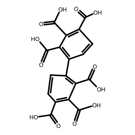 O=C(O)c1ccc(-c2ccc(C(=O)O)c(C(=O)O)c2C(=O)O)c(C(=O)O)c1C(=O)O